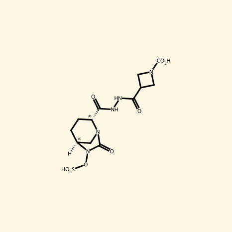 O=C(NNC(=O)[C@H]1CC[C@H]2CN1C(=O)N2OS(=O)(=O)O)C1CN(C(=O)O)C1